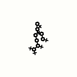 CC(C)(C)c1cccc(-c2cccc(N(c3cccc(-c4ccc(-c5cc(-c6cc(C(C)(C)C)cc(C(C)(C)C)c6)cc(C(C)(C)C)c5)cc4)c3)c3ccc4c(c3)C(C)(C)c3ccccc3-4)c2)c1